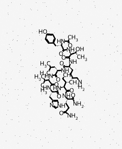 CC[C@H](C)[C@H](NC(=O)[C@H](Cc1c[nH]cn1)NC(=O)[C@@H](NC(=O)[C@H](CC(C)C)NC(=O)[C@H](CCCCN)NC(=O)[C@@H](NC(=O)[C@H](Cc1ccc(O)cc1)NC(C)=O)[C@@H](C)O)C(C)C)C(=O)N[C@@H](CCC(N)=O)C(N)=O